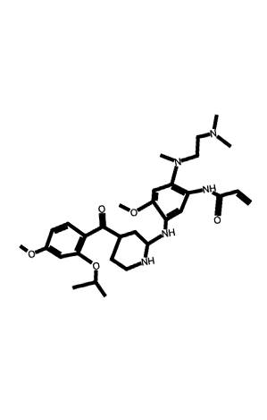 C=CC(=O)Nc1cc(NC2CC(C(=O)c3ccc(OC)cc3OC(C)C)CCN2)c(OC)cc1N(C)CCN(C)C